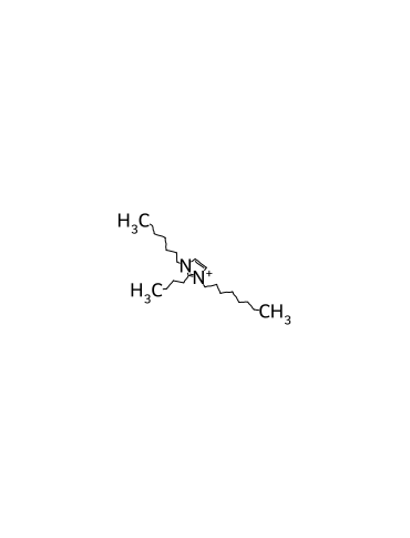 CCCCCCCC[n+]1ccn(CCCCCCC)c1CCCC